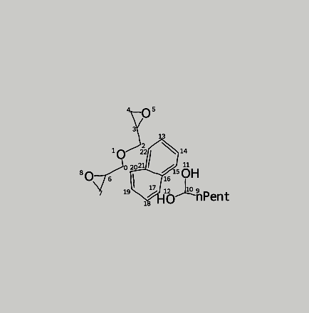 C(OCC1CO1)C1CO1.CCCCCC(O)O.c1ccc2ccccc2c1